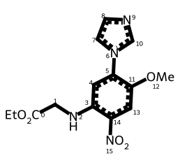 CCOC(=O)CNc1cc(-n2ccnc2)c(OC)cc1[N+](=O)[O-]